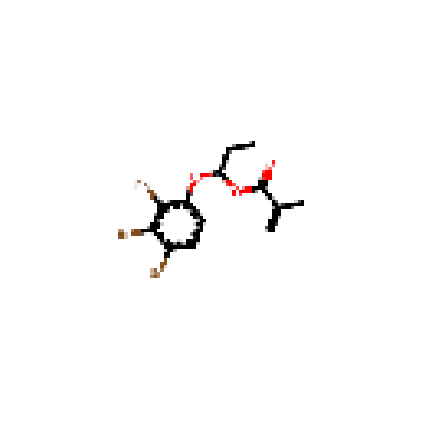 C=C(C)C(=O)OC(CC)Oc1ccc(Br)c(Br)c1Br